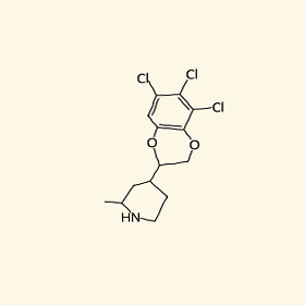 CC1CC(C2COc3c(cc(Cl)c(Cl)c3Cl)O2)CCN1